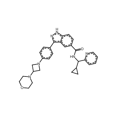 O=C(NC(c1ccccn1)C1CC1)c1ccc2[nH]nc(-c3ccc(N4CC(N5CCOCC5)C4)cc3)c2c1